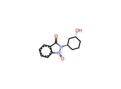 O=C1c2ccccc2[N+](=O)N1[C@@H]1CCC[C@@H](O)C1